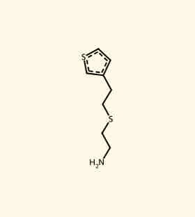 NCCSCCc1ccsc1